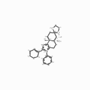 C[C@@H]1[C@H]2CCc3c(nc(C4=CCCCC4)n3-c3ccccc3)[C@]2(C)CCC12OCCO2